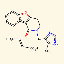 Cc1[nH]cnc1CN1CCc2oc3ccccc3c2C1=O.O=C(O)C=CC(=O)O